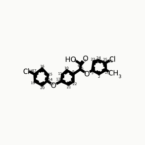 Cc1cc(OC(C(=O)O)c2ccc(Oc3ccc(Cl)cc3)cc2)ccc1Cl